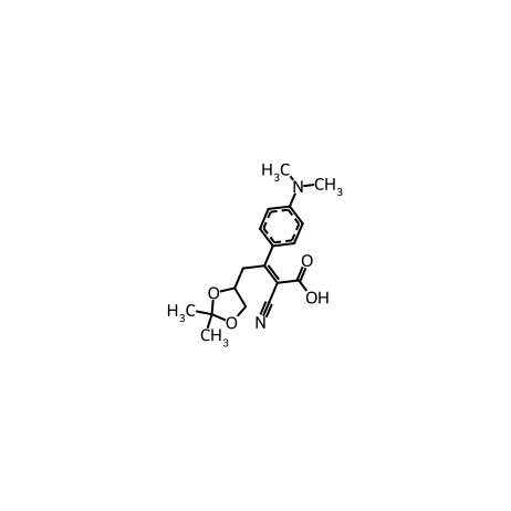 CN(C)c1ccc(C(CC2COC(C)(C)O2)=C(C#N)C(=O)O)cc1